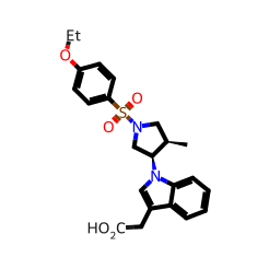 CCOc1ccc(S(=O)(=O)N2C[C@@H](C)[C@@H](n3cc(CC(=O)O)c4ccccc43)C2)cc1